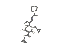 O=C(NC1CC1)c1c(O)n2ncc(/C=C/C(=O)N3CCOCC3)c2n(CC2CC2)c1=O